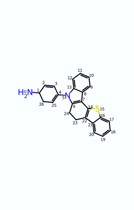 NC1C=CC(n2c3c(c4ccccc42)-c2sc4ccccc4c2CC3)=CC1